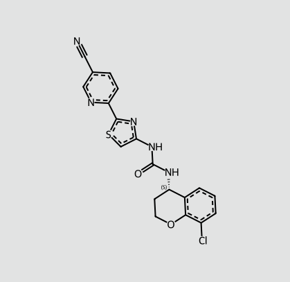 N#Cc1ccc(-c2nc(NC(=O)N[C@H]3CCOc4c(Cl)cccc43)cs2)nc1